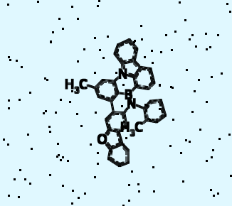 Cc1cc2c3c(c1)-n1c4ccccc4c4cccc(c41)B3N(c1ccccc1C)c1cc3c(cc1-2)oc1ccccc13